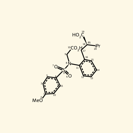 COc1ccc(S(=O)(=O)N(CC(=O)O)c2ccccc2C[C@@H](C(=O)O)C(C)C)cc1